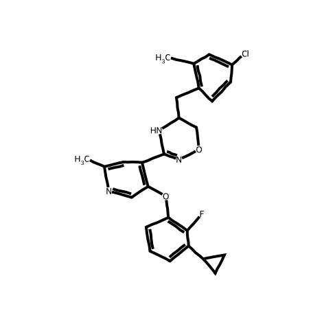 Cc1cc(C2=NOCC(Cc3ccc(Cl)cc3C)N2)c(Oc2cccc(C3CC3)c2F)cn1